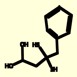 OC(O)CC(S)(S)Cc1cc[c]cc1